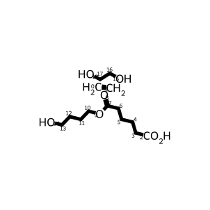 C=C.O=C(O)CCCCC(=O)OCCCCO.OCCO